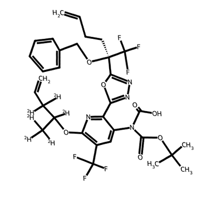 [2H]C([2H])([2H])C([2H])(Oc1nc(-c2nnc([C@@](CCC=C)(OCc3ccccc3)C(F)(F)F)o2)c(N(C(=O)O)C(=O)OC(C)(C)C)cc1C(F)(F)F)C([2H])([2H])C=C